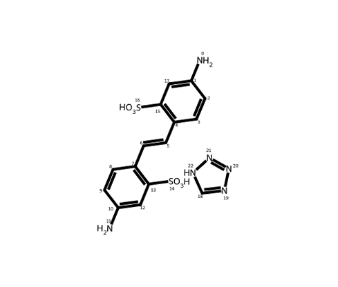 Nc1ccc(C=Cc2ccc(N)cc2S(=O)(=O)O)c(S(=O)(=O)O)c1.c1nnn[nH]1